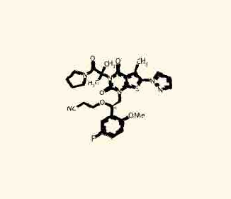 COc1ccc(F)cc1[C@H](Cn1c(=O)n(C(C)(C)C(=O)N2CCCC2)c(=O)c2c(C)c(-n3cccn3)sc21)OCCC#N